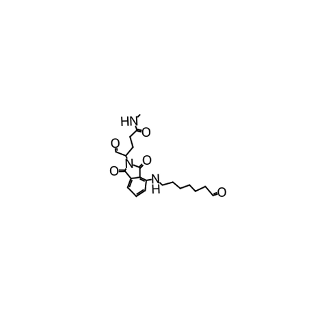 CNC(=O)CCC(C=O)N1C(=O)c2cccc(NCCCCCCC=O)c2C1=O